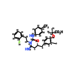 Cc1cc(CCCC(=N)N(CCc2ccccc2F)C(=O)Nc2ccc(C(F)(F)F)cc2)ccc1OC(C)(C)C(=O)O